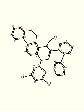 CCC1C(c2ccccc2-c2cccnn2)=CC(c2nc(C)cc(C)n2)c2ccc3c(c21)CCc1ccccc1-3